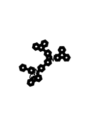 c1ccc(-c2ccc(N(c3ccc(-c4ccc5c(c4)c4cc(-c6cc7ccccc7c7ccccc67)ccc4n5-c4ccc5c6ccccc6c6ccccc6c5c4)cc3)c3cccc4c3oc3ccccc34)cc2)cc1